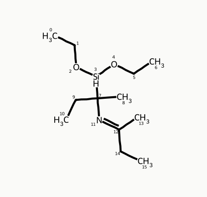 CCO[SiH](OCC)C(C)(CC)N=C(C)CC